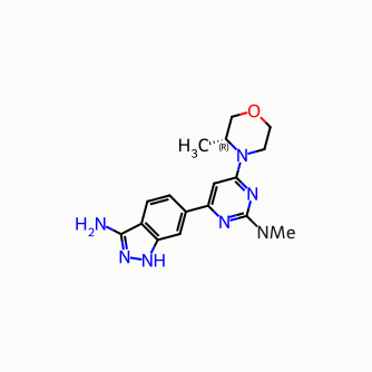 CNc1nc(-c2ccc3c(N)n[nH]c3c2)cc(N2CCOC[C@H]2C)n1